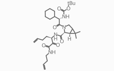 C=CCCNC(=O)C(=O)[C@@H](CCC=C)NC(=O)[C@@H]1[C@@H]2C(CN1C(=O)[C@@H](NC(=O)OC(C)(C)C)C1CCCCC1)C2(C)C